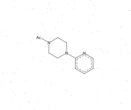 CC(=O)N1CCN(c2cc[c]cn2)CC1